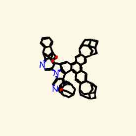 c1ccc2c(c1)C1c3ncc4c(c3C23c2ccccc2C13)c1cc2c3cc5c(cc3c3cc6c(cc3c2c2c3c7c(ncc3n4c12)C1CC2CC(C1)CC7C2)C1CC2CC3CC6CC32C1)C1CC2CC3CC5CC23C1